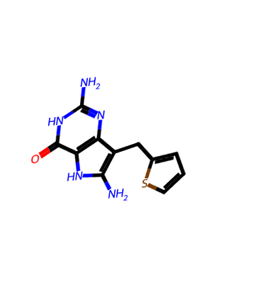 Nc1nc2c(Cc3cccs3)c(N)[nH]c2c(=O)[nH]1